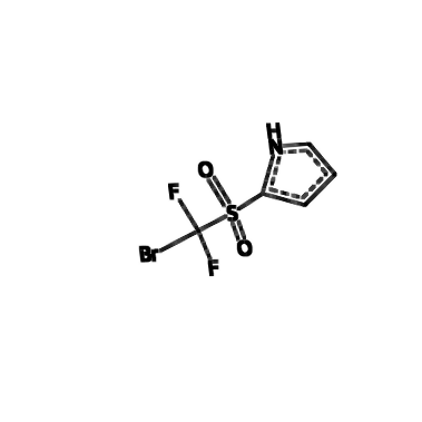 O=S(=O)(c1ccc[nH]1)C(F)(F)Br